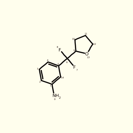 Nc1cccc(C(F)(F)C2CCCO2)c1